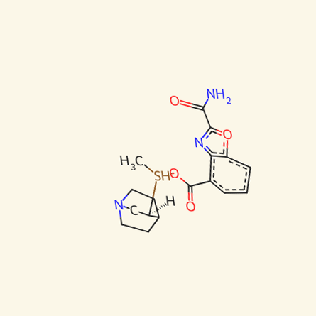 C[SH](OC(=O)c1cccc2oc(C(N)=O)nc12)[C@@H]1CN2CCC1CC2